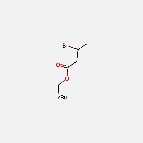 CCCCCOC(=O)CC(C)Br